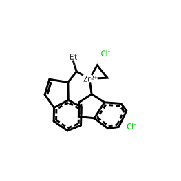 CC[CH](C1C=Cc2ccccc21)[Zr+2]1([CH]2C=Cc3ccccc32)[CH2][CH2]1.[Cl-].[Cl-]